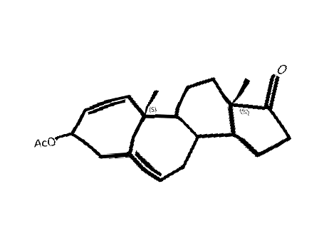 CC(=O)OC1C=C[C@@]2(C)C(=CCC3C2CC[C@]2(C)C(=O)CCC32)C1